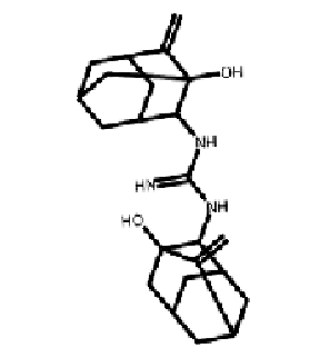 C=C1C2CC3CC(C2)C(NC(=N)NC2C4CC5CC(C4)C(=C)C2(O)C5)C1(O)C3